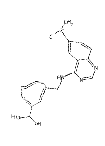 C[S+]([O-])c1ccc2ncnc(NCc3cccc(C(O)O)c3)c2c1